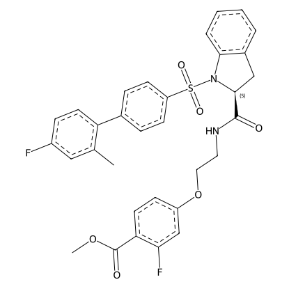 COC(=O)c1ccc(OCCNC(=O)[C@@H]2Cc3ccccc3N2S(=O)(=O)c2ccc(-c3ccc(F)cc3C)cc2)cc1F